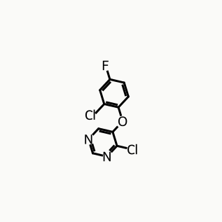 Fc1ccc(Oc2cncnc2Cl)c(Cl)c1